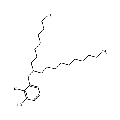 CCCCCCCCCCC(CCCCCCCC)Oc1cccc(O)c1O